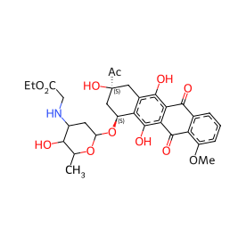 CCOC(=O)CNC1CC(O[C@H]2C[C@](O)(C(C)=O)Cc3c(O)c4c(c(O)c32)C(=O)c2c(OC)cccc2C4=O)OC(C)C1O